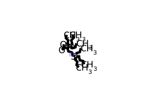 CCC[CH2][Sn](/[CH]=C/C[CH](C(=O)O)[Sn]([CH2]CCC)([CH2]CCC)[CH2]CCC)([CH2]CCC)[CH2]CCC